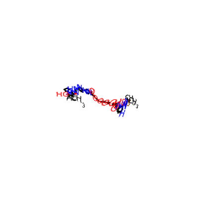 CC(=O)C1=C(C)c2cnc(Nc3ccc(N4CCN(C(=O)CCOCCOCCOCCOCCC(=O)Nc5ccccc5C(O)Nc5nc(C)c(C)s5)CC4)cn3)nc2N(C2CCCC2)C1O